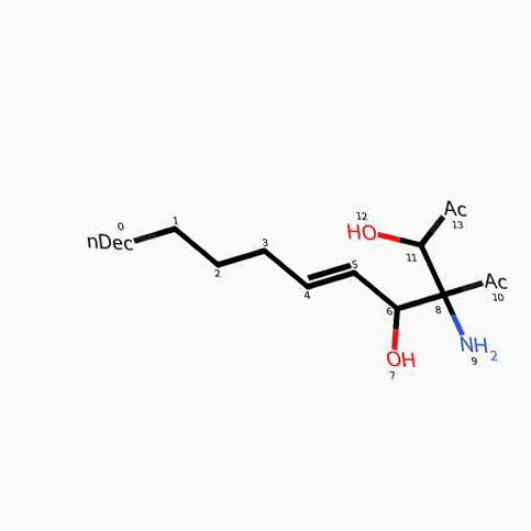 CCCCCCCCCCCCCC=CC(O)C(N)(C(C)=O)C(O)C(C)=O